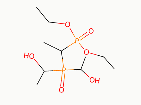 CCOP(=O)(OCC)C(C)P(=O)(C(C)O)C(C)O